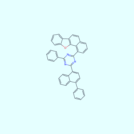 c1ccc(-c2nc(-c3ccc(-c4ccccc4)c4ccccc34)nc(-c3cccc4ccc5c6ccccc6oc5c34)n2)cc1